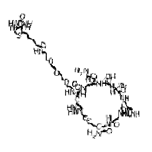 CC(C)[C@H]1NC(=O)[C@@H](CO)NC(=O)[C@@H](CC(N)=O)NC(=O)[C@@H](NC(=O)COCCOCCOCCNC(=O)CCCCC2SC[C@H]3NC(=O)N[C@@H]23)CC2=CN(CCCC[C@@H](C(N)=O)NC(=O)CNC(=O)[C@@H](Cc3c[nH]cn3)NC1=O)NN2